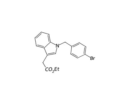 CCOC(=O)Cc1cn(Cc2ccc(Br)cc2)c2ccccc12